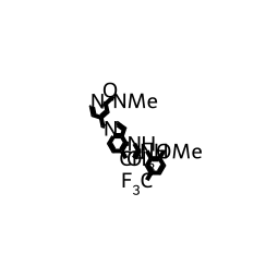 CNC(=O)c1cc(Cn2ccc3c(NC(=O)Nc4cc(C(F)(F)F)ccc4OC)c(C)ccc32)ccn1